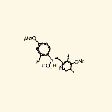 COc1ccc(N(Cc2ncc(C)c(OC)c2C)C(=O)O)c(F)c1